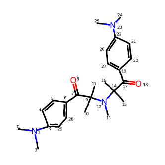 CN(C)c1ccc(C(=O)C(C)(C)N(C)C(C)(C)C(=O)c2ccc(N(C)C)cc2)cc1